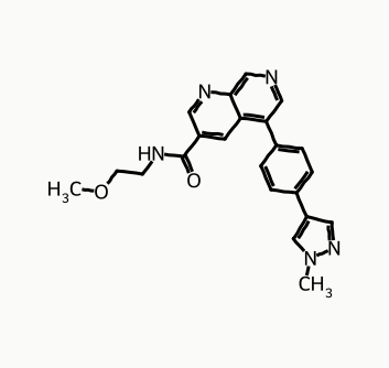 COCCNC(=O)c1cnc2cncc(-c3ccc(-c4cnn(C)c4)cc3)c2c1